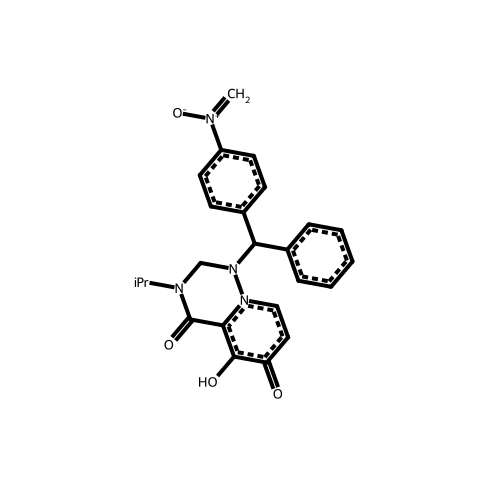 C=[N+]([O-])c1ccc(C(c2ccccc2)N2CN(C(C)C)C(=O)c3c(O)c(=O)ccn32)cc1